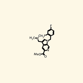 COC(=O)c1cc2c(CN(C)C)cn(Cc3ccc(F)cc3F)c2cn1